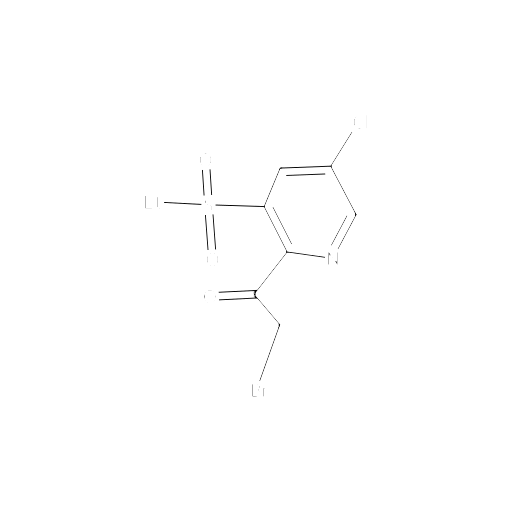 CCS(=O)(=O)c1cc(Cl)cnc1C(=O)CBr